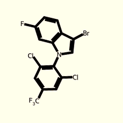 Fc1ccc2c(Br)cn(-c3c(Cl)cc(C(F)(F)F)cc3Cl)c2c1